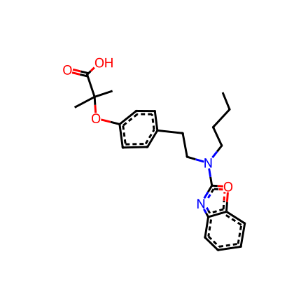 CCCCN(CCc1ccc(OC(C)(C)C(=O)O)cc1)c1nc2ccccc2o1